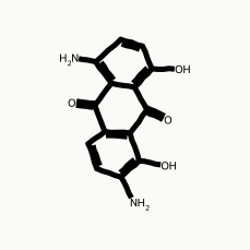 Nc1ccc2c(c1O)C(=O)c1c(O)ccc(N)c1C2=O